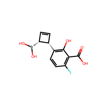 O=C(O)c1c(F)ccc([C@H]2C=C[C@H]2B(O)O)c1O